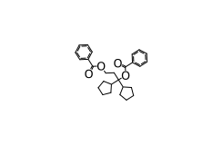 O=C(OCCC(OC(=O)c1ccccc1)(C1CCCC1)C1CCCC1)c1ccccc1